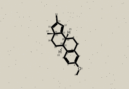 COc1ccc2c(c1)CC[C@H]1C3=CC(C)=[C][C@@]3(C)CC[C@H]21